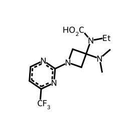 CCN(C(=O)O)C1(N(C)C)CN(c2nccc(C(F)(F)F)n2)C1